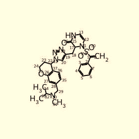 C=C(c1ccccc1)S(=O)(=O)N1C=CNC(=O)C1Cc1cn(C2CCOc3cc(CN(C)C(C)C)ccc32)nn1